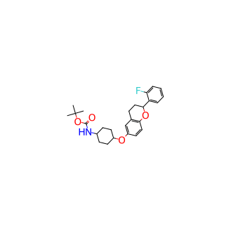 CC(C)(C)OC(=O)NC1CCC(Oc2ccc3c(c2)CCC(c2ccccc2F)O3)CC1